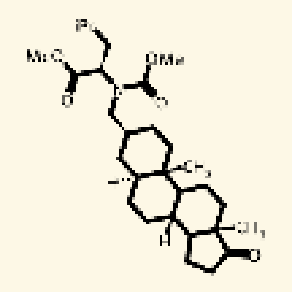 COC(=O)[C@@H](CC(C)C)N(C[C@H]1CC[C@]2(C)C3CC[C@]4(C)C(=O)CCC4[C@@H]3CC[C@H]2C1)C(=O)OC